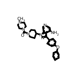 CN1CCN(C(=O)N2CCC(n3nc(-c4ccc(Oc5ccccc5)cc4)c4c(N)cncc43)CC2)CC1